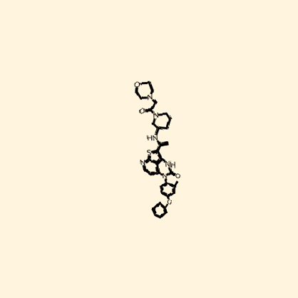 C=C(NC1CCCN(C(=O)CN2CCOCC2)C1)c1sc2nccc3c2c1NC(=O)N3c1ccc(Oc2ccccc2)cc1C